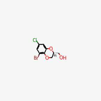 OC[C@@H]1COc2c(Br)cc(Cl)cc2O1